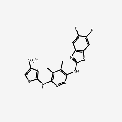 CCOC(=O)c1csc(Nc2nnc(Nc3nc4cc(F)c(F)cc4s3)c(C)c2C)n1